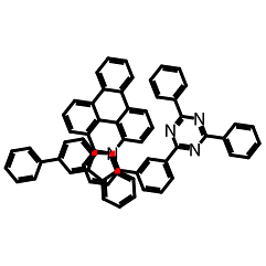 c1ccc(-c2ccc3c(c2)c2ccccc2n3-c2cccc3c4ccccc4c4cccc(-c5cccc(-c6cccc(-c7nc(-c8ccccc8)nc(-c8ccccc8)n7)c6)c5)c4c23)cc1